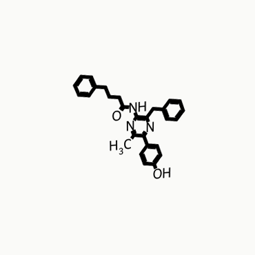 Cc1nc(NC(=O)CCCc2ccccc2)c(Cc2ccccc2)nc1-c1ccc(O)cc1